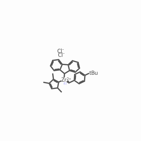 CC1=CC(C)[C](/[Zr+2](=[CH]/c2ccc(C(C)(C)C)cc2)[CH]2c3ccccc3-c3ccccc32)=C1C.[Cl-].[Cl-]